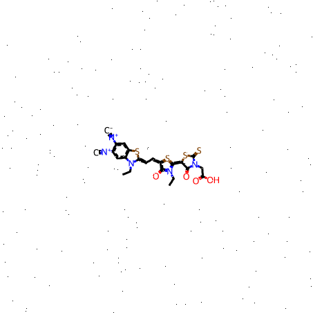 [C-]#[N+]c1cc2c(cc1[N+]#[C-])N(CC)/C(=C/C=c1/s/c(=C3\SC(=S)N(CC(=O)O)C3=O)n(CC)c1=O)S2